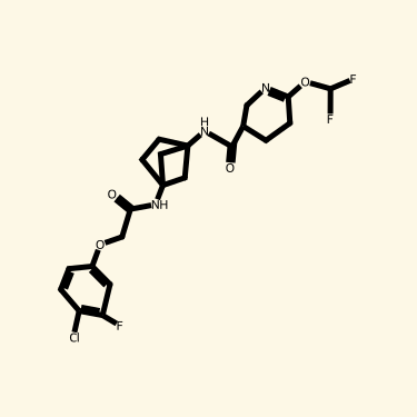 O=C(COc1ccc(Cl)c(F)c1)NC12CCC(NC(=O)C3CCC(OC(F)F)=NC3)(C1)C2